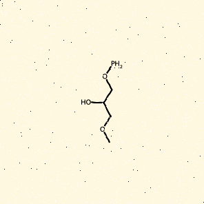 COCC(O)COP